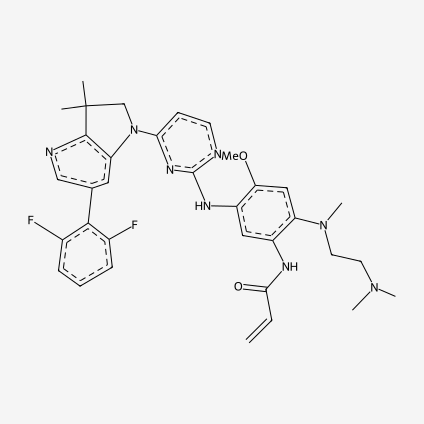 C=CC(=O)Nc1cc(Nc2nccc(N3CC(C)(C)c4ncc(-c5c(F)cccc5F)cc43)n2)c(OC)cc1N(C)CCN(C)C